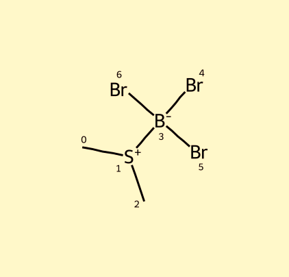 C[S+](C)[B-](Br)(Br)Br